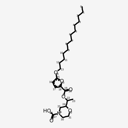 CCCCCCCCCCCCCCOc1ccc(C(=O)OC(C)C2CN(C(=O)O)CCO2)o1